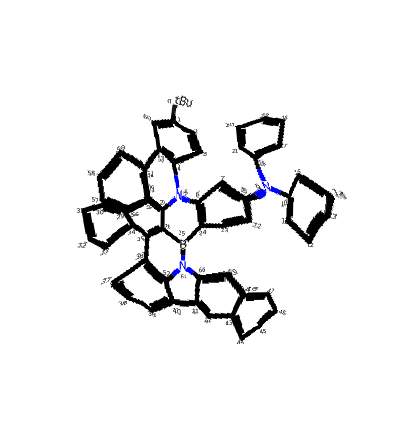 CC(C)(C)c1ccc(N2c3cc(N(c4ccccc4)c4ccccc4)ccc3B3c4c2cc2ccccc2c4-c2cccc4c5cc6ccccc6cc5n3c24)c(-c2ccccc2)c1